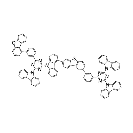 c1cc(-c2ccc3sc4cc(-c5cccc6c5c5ccccc5n6-c5nc(-c6cccc(-c7cccc8oc9ccccc9c78)c6)nc(-n6c7ccccc7c7ccccc76)n5)ccc4c3c2)cc(-c2nc(-n3c4ccccc4c4ccccc43)nc(-n3c4ccccc4c4ccccc43)n2)c1